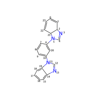 C1=CC2N=CN(c3cccc(-n4cnc5ccccc54)c3)C2C=C1